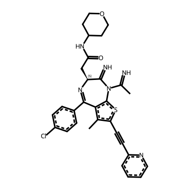 CC(=N)N1C(=N)[C@H](CC(=O)NC2CCOCC2)N=C(c2ccc(Cl)cc2)c2c1sc(C#Cc1ccccn1)c2C